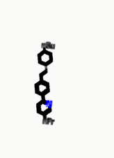 CCCC[C@H]1CC[C@H](CCc2ccc(-c3ccc(CCC)cn3)cc2)CC1